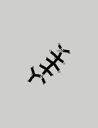 CC(C)N(C)C(C)(C)C(C)(C)C(C)(C)N(C)C